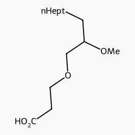 CCCCCCCCC(COCCC(=O)O)OC